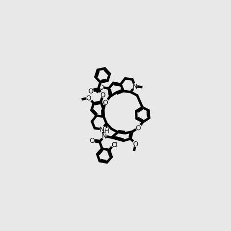 COc1cc2c3cc1Oc1ccc(cc1)CC1c4cc(c(OC)cc4CCN1C)Oc1c(OC(=O)c4ccccc4)c(OC)cc4c1[C@H](C3)N(CC4)N2C(=O)c1ccccc1Cl